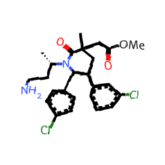 COC(=O)CC1(C)CC(c2cccc(Cl)c2)C(c2ccc(Cl)cc2)N([C@@H](C)CCN)C1=O